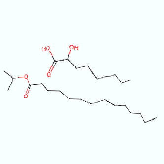 CCCCCCC(O)C(=O)O.CCCCCCCCCCCCCC(=O)OC(C)C